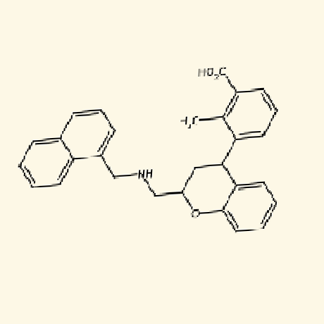 Cc1c(C(=O)O)cccc1C1CC(CNCc2cccc3ccccc23)Oc2ccccc21